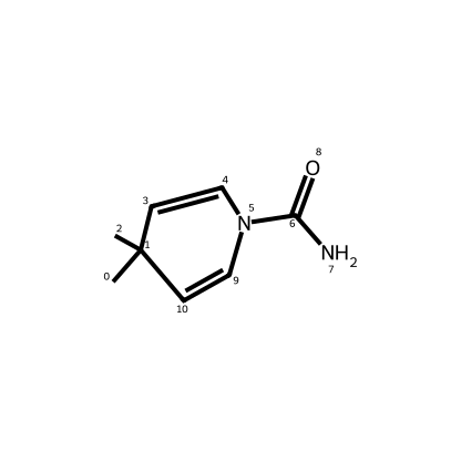 CC1(C)C=CN(C(N)=O)C=C1